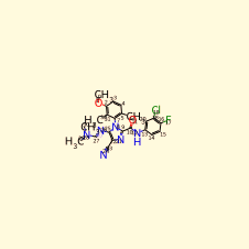 COc1ccc(C)c(-n2c(C(=O)Nc3ccc(F)c(Cl)c3)nc(C#N)c2/N=C/N(C)C)c1C